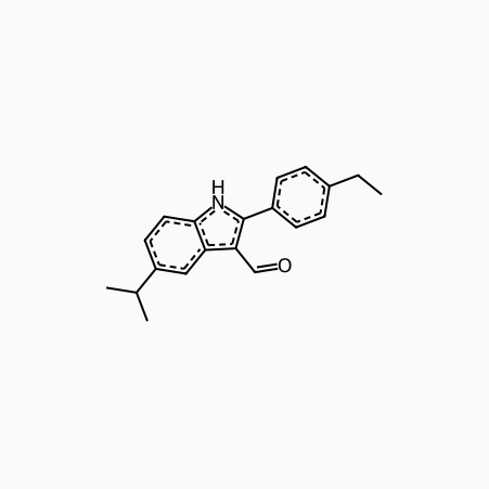 CCc1ccc(-c2[nH]c3ccc(C(C)C)cc3c2C=O)cc1